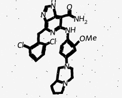 COc1cc(N2CCN3CCCC3C2)ccc1Nc1nc(Cc2c(Cl)cccc2Cl)c2nc[nH]c2c1C(N)=O